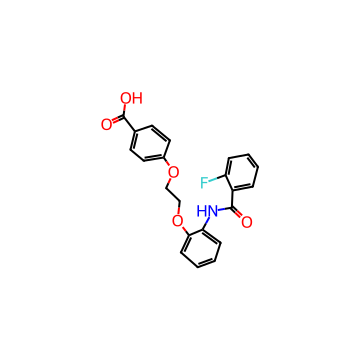 O=C(O)c1ccc(OCCOc2ccccc2NC(=O)c2ccccc2F)cc1